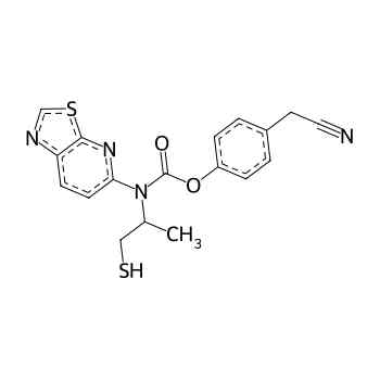 CC(CS)N(C(=O)Oc1ccc(CC#N)cc1)c1ccc2ncsc2n1